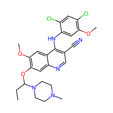 CCC(Oc1cc2ncc(C#N)c(Nc3cc(OC)c(Cl)cc3Cl)c2cc1OC)N1CCN(C)CC1